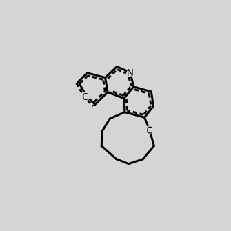 c1ccc2c(c1)cnc1ccc3c(c12)CCCCCCCC3